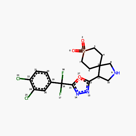 O=S1(=O)CCC2(CC1)CNCC2c1nnc(C(F)(F)c2ccc(Cl)c(Cl)c2)o1